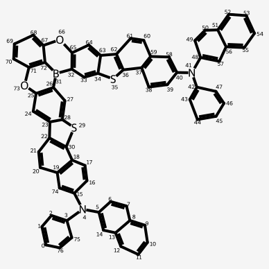 c1ccc(N(c2ccc3ccccc3c2)c2ccc3c(ccc4c5cc6c(cc5sc34)B3c4cc5sc7c8ccc(N(c9ccccc9)c9ccc%10ccccc%10c9)cc8ccc7c5cc4Oc4cccc(c43)O6)c2)cc1